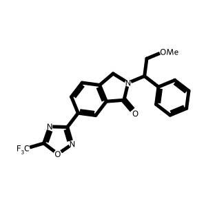 COCC(c1ccccc1)N1Cc2ccc(-c3noc(C(F)(F)F)n3)cc2C1=O